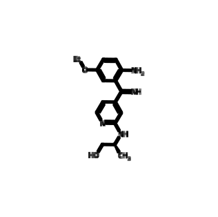 CCOc1ccc(N)c(C(=N)c2ccnc(N[C@@H](C)CO)c2)c1